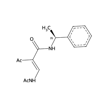 CC(=O)NC=C(C(C)=O)C(=O)N[C@@H](C)c1ccccc1